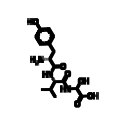 CC(C)[C@H](NC(=O)[C@H](N)Cc1ccc(O)cc1)C(=O)NC(O)C(=O)O